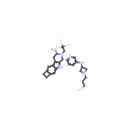 C[C@@H]1Cc2c([nH]c3cc4c(cc23)CC4)[C@@H](c2ccc(NC3CN(CCCF)C3)cn2)N1CC(F)(F)F